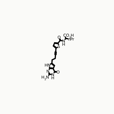 CCCC(NC(=O)c1ccc(C#CCCc2cc3c(=O)[nH]c(N)nc3[nH]2)s1)C(=O)O